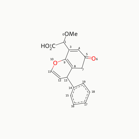 COC(C(=O)O)C1=CC(=O)CC2=C1OC=CC2c1ccccc1